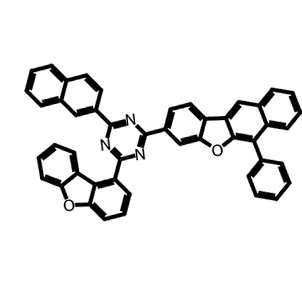 c1ccc(-c2c3ccccc3cc3c2oc2cc(-c4nc(-c5ccc6ccccc6c5)nc(-c5cccc6oc7ccccc7c56)n4)ccc23)cc1